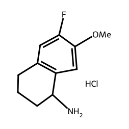 COc1cc2c(cc1F)CCCC2N.Cl